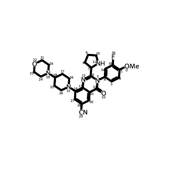 COc1ccc(-n2c(C3CCCN3)nc3c(N4CCC(N5CCOCC5)CC4)cc(C#N)cc3c2=O)cc1F